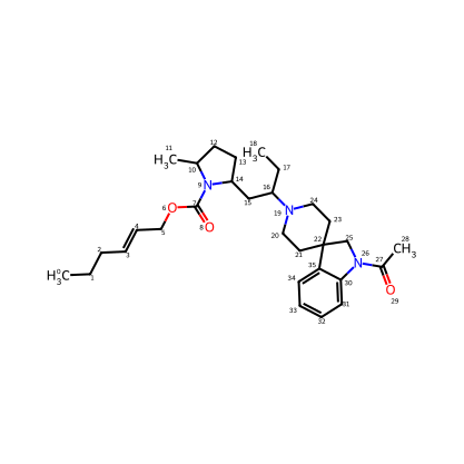 CCCC=CCOC(=O)N1C(C)CCC1CC(CC)N1CCC2(CC1)CN(C(C)=O)c1ccccc12